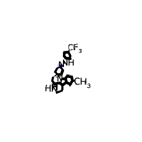 Cc1ccc2c(c1)c1c3n2[C@@]2(C=C/C(=N\Nc4ccc(C(F)(F)F)cc4)CC2)CC[C@@H]3NCC1